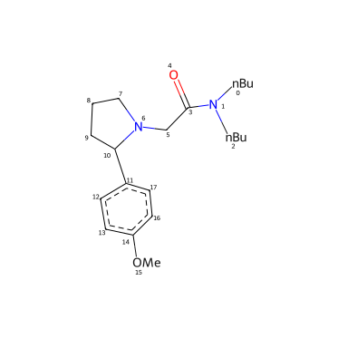 CCCCN(CCCC)C(=O)CN1CCCC1c1ccc(OC)cc1